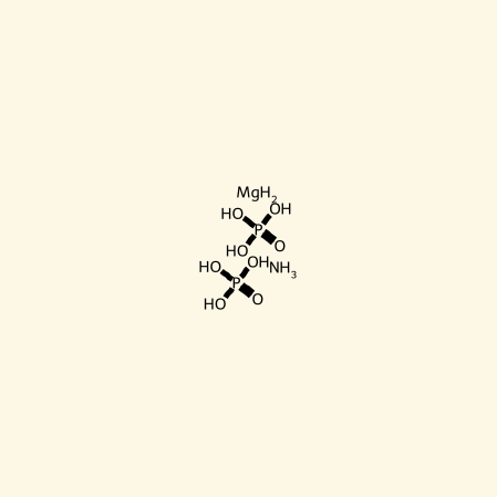 N.O=P(O)(O)O.O=P(O)(O)O.[MgH2]